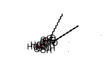 C#CC#CC#CC#CC#CC#CC#CC(=O)OC[C@H](COP(=O)(O)OC1C(O)[C@@H](O)C(O)[C@@H](OP(=O)(O)O)[C@H]1O)OC(=O)CCCCCCCCCCCCCCC